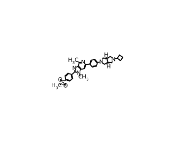 Cc1nc(-c2ccc(N3C[C@@H]4CN(C5CCC5)C[C@@H]4C3)cc2)cc2c1nc(-c1ccc(S(C)(=O)=O)cc1)n2C